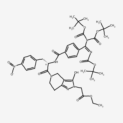 CCOC(=O)Cn1nc2c(c1O)CN(C(=O)[C@H](Cc1ccc([N+](=O)[O-])cc1)NC(=O)c1ccc(C(=NC(=O)OC(C)(C)C)N(C(=O)OC(C)(C)C)C(=O)OC(C)(C)C)cc1)CC2